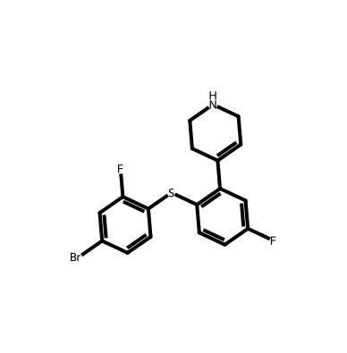 Fc1ccc(Sc2ccc(Br)cc2F)c(C2=CCNCC2)c1